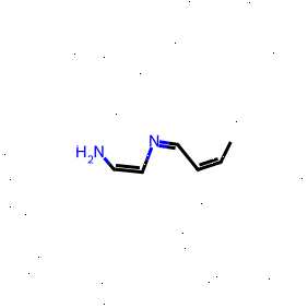 C\C=C/C=N\C=C/N